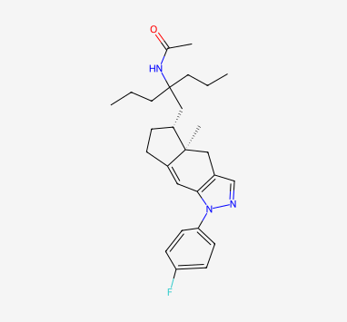 CCCC(CCC)(C[C@H]1CCC2=Cc3c(cnn3-c3ccc(F)cc3)C[C@@]21C)NC(C)=O